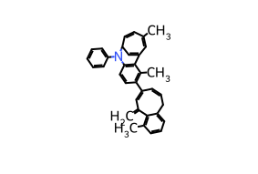 C=C1/C=C(c2ccc3c(c2C)C2=CC(C=CC(C)=C2)N3c2ccccc2)\C=C/Cc2cccc(C)c21